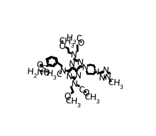 COCCN(CCOC)c1nc(N2CCN(c3ncn(C)n3)CC2)c2nc(N(CCOC)CCOC)nc(N(C)Cc3cccc(S(N)(=O)=O)c3)c2n1